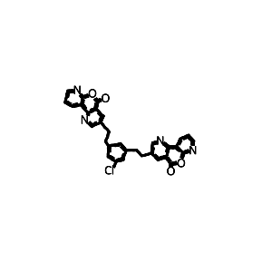 O=c1oc2ncccc2c2ncc(CCc3cc(Cl)cc(CCc4cnc5c(c4)c(=O)oc4ncccc45)c3)cc12